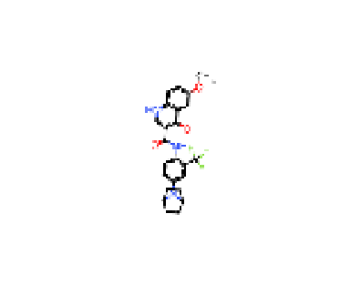 COc1ccc2[nH]cc(C(=O)Nc3ccc(N4C5CCC4CC5)cc3C(F)(F)F)c(=O)c2c1